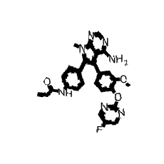 C=CC(=O)Nc1ccc(-c2c(-c3ccc(Oc4ncc(F)cn4)c(OC)c3)c3c(N)ncnc3n2C)cc1